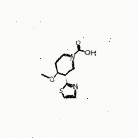 CO[C@H]1CCN(C(=O)O)C[C@@H]1c1nccs1